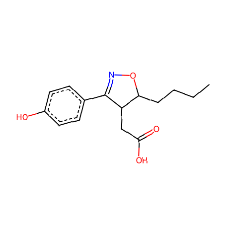 CCCCC1ON=C(c2ccc(O)cc2)C1CC(=O)O